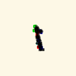 CC[C@@H](C)n1ncn(-c2ccc(N3CCN(c4ccc(OC[C@@H]5CO[C@@](Cn6ccnc6)(c6ccc(Cl)cc6Cl)O5)cc4)CC3)c(F)c2)c1=O